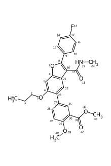 CCCOc1cc2oc(-c3ccc(F)cc3)c(C(=O)NC)c2cc1-c1ccc(OC)c(C(=O)OC)c1